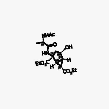 CCOC(=O)[C@H]1[C@H]2[C@@H]1[C@](NC(=O)[C@H](C)NC(C)=O)(C(=O)OCC)C[C@@H]2O